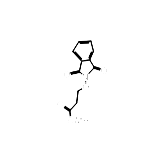 COC(=O)CCON1C(=O)c2ccccc2C1=O